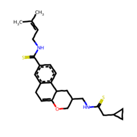 CC(C)=CCNC(=S)c1ccc2c(c1)CC=C1OCC(CNC(=S)CC3CC3)CC12